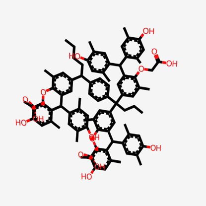 CCCCC(c1ccc(C(CCC)(c2cc(C)c(OCC(=O)O)c(C(c3cc(C)c(O)cc3C)c3cc(C)c(O)cc3C)c2)c2cc(C)c(OCC(=O)O)c(C(c3cc(C)c(O)cc3C)c3cc(C)c(O)cc3C)c2)cc1)c1cc(C)c(OCC(=O)O)c(C(c2cc(C)c(O)cc2C)c2cc(C)c(O)cc2C)c1